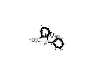 O=C(O)c1ccccc1[SiH2]c1ccccc1C(=O)O